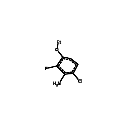 CCOc1ccc(Cl)c(N)c1F